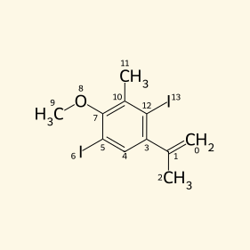 C=C(C)c1cc(I)c(OC)c(C)c1I